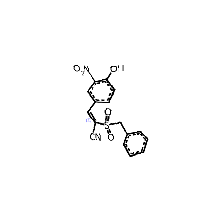 N#C/C(=C/c1ccc(O)c([N+](=O)[O-])c1)S(=O)(=O)Cc1ccccc1